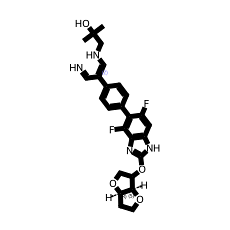 CC(C)(O)CN/C=C(\C=N)c1ccc(-c2c(F)cc3[nH]c(OC4CO[C@@H]5CCO[C@H]45)nc3c2F)cc1